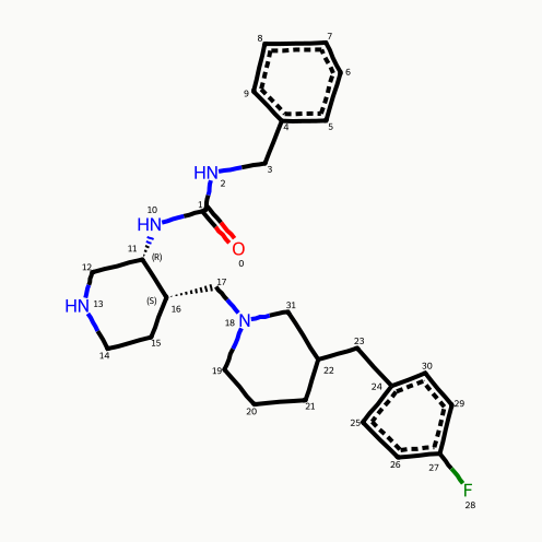 O=C(NCc1ccccc1)N[C@H]1CNCC[C@H]1CN1CCCC(Cc2ccc(F)cc2)C1